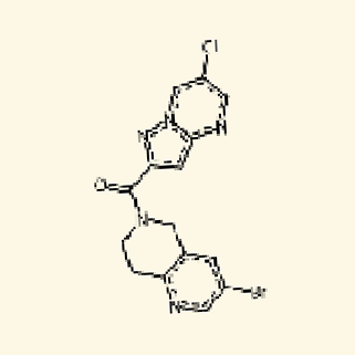 O=C(c1cc2ncc(Cl)cn2n1)N1CCc2ncc(Br)cc2C1